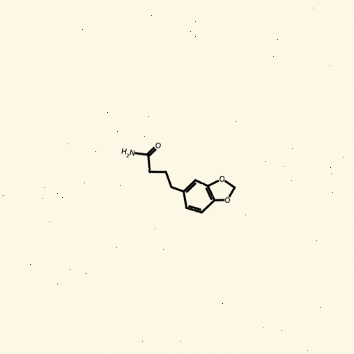 NC(=O)CCCc1ccc2c(c1)OCO2